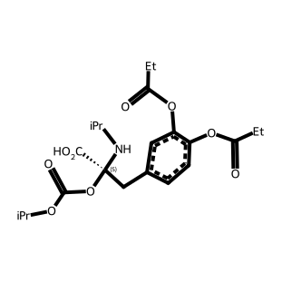 CCC(=O)Oc1ccc(C[C@](NC(C)C)(OC(=O)OC(C)C)C(=O)O)cc1OC(=O)CC